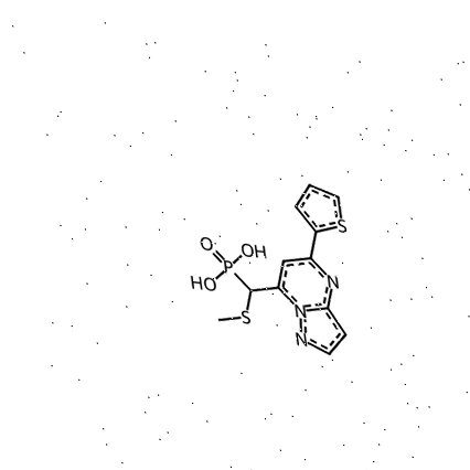 CSC(c1cc(-c2cccs2)nc2ccnn12)P(=O)(O)O